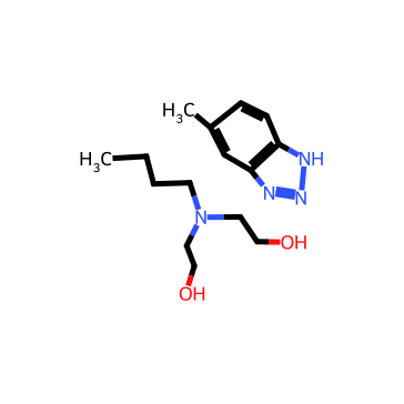 CCCCN(CCO)CCO.Cc1ccc2[nH]nnc2c1